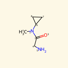 CN(C(=O)CN)C1CC1